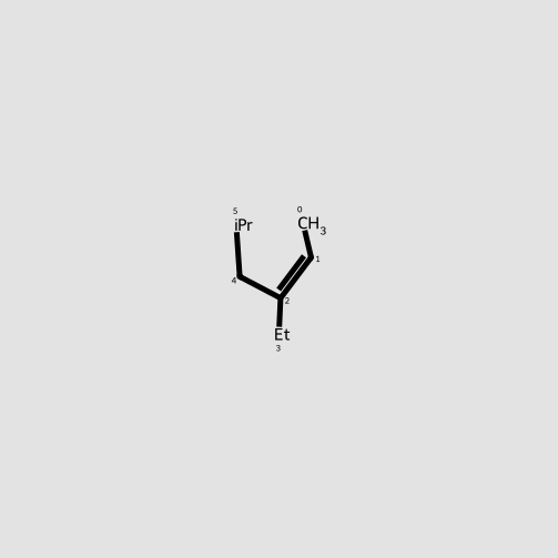 CC=C(CC)CC(C)C